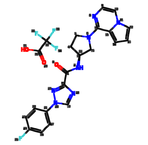 O=C(N[C@H]1CCN(c2nccn3cccc23)C1)c1ncn(-c2ccc(F)cc2)n1.O=C(O)C(F)(F)F